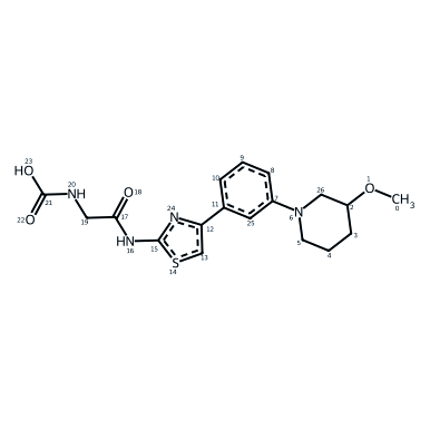 COC1CCCN(c2cccc(-c3csc(NC(=O)CNC(=O)O)n3)c2)C1